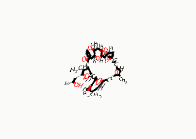 C=C1C[C@@H]2CC[C@@]34C[C@H]5O[C@H]6[C@@H](O3)[C@H]3OC(CC[C@@H]3O[C@H]6[C@H]5O4)CC(=O)C[C@@H]3[C@@H](C)[C@@H](C[C@H](O)CC)O[C@H]3C[C@H]3O[C@@H](CCC1O2)C[C@@H](C)C3=C